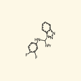 CCCC(Nc1ccc(F)c(F)c1)n1nnc2ccccc21